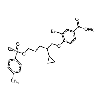 COC(=O)c1ccc(OCC(CCCOS(=O)(=O)c2ccc(C)cc2)C2CC2)c(Br)c1